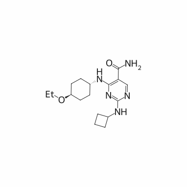 CCO[C@H]1CC[C@H](Nc2nc(NC3CCC3)ncc2C(N)=O)CC1